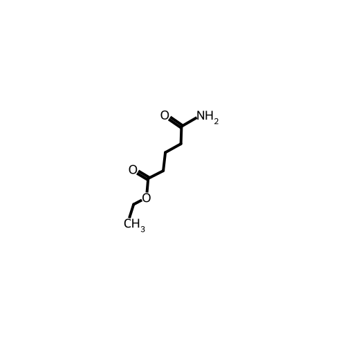 CCOC(=O)CCCC(N)=O